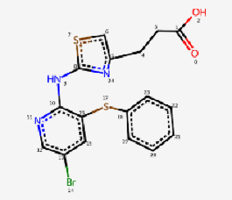 O=C(O)CCc1csc(Nc2ncc(Br)cc2Sc2ccccc2)n1